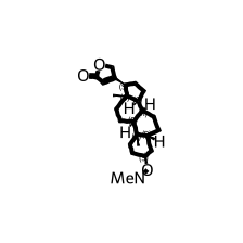 CNO[C@H]1CC[C@@]2(C)[C@H](CC[C@@H]3[C@@H]2CC[C@]2(C)[C@@H](C4=CC(=O)OC4)CC[C@@H]32)C1